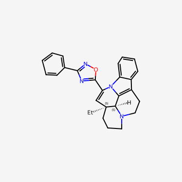 CC[C@@]12C=C(c3nc(-c4ccccc4)no3)n3c4c(c5ccccc53)CCN(CCC1)[C@H]42